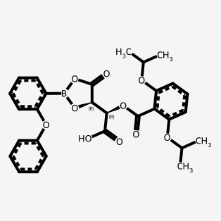 CC(C)Oc1cccc(OC(C)C)c1C(=O)O[C@@H](C(=O)O)[C@H]1OB(c2ccccc2Oc2ccccc2)OC1=O